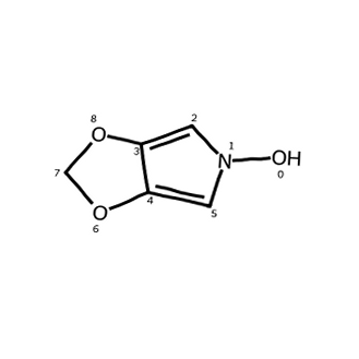 On1cc2c(c1)OCO2